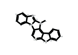 Cn1c2c3c(ncc2n2c4ccccc4nc12)sc1ccccc13